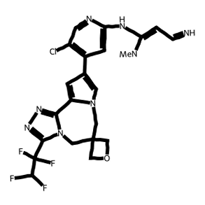 CN/C(=C\C=N)Nc1cc(-c2cc3n(c2)CC2(COC2)Cn2c-3nnc2C(F)(F)C(F)F)c(Cl)cn1